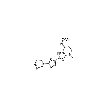 CO/N=C1\CCN(C)c2sc(-c3cnc(-c4cccnc4)s3)nc21